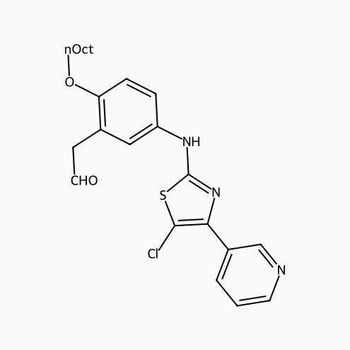 CCCCCCCCOc1ccc(Nc2nc(-c3cccnc3)c(Cl)s2)cc1CC=O